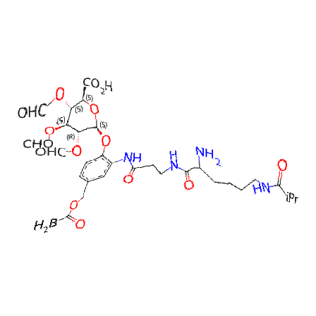 BC(=O)OCc1ccc(O[C@@H]2O[C@H](C(=O)O)[C@@H](OC=O)[C@H](OC=O)[C@H]2OC=O)c(NC(=O)CCNC(=O)C(N)CCCCNC(=O)C(C)C)c1